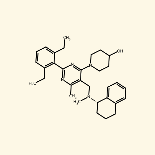 CCc1cccc(CC)c1-c1nc(C)c(CN(C)[C@H]2CCCc3ccccc32)c(N2CCC(O)CC2)n1